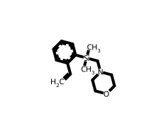 C=Cc1ccccc1[Si](C)(C)CN1CCOCC1